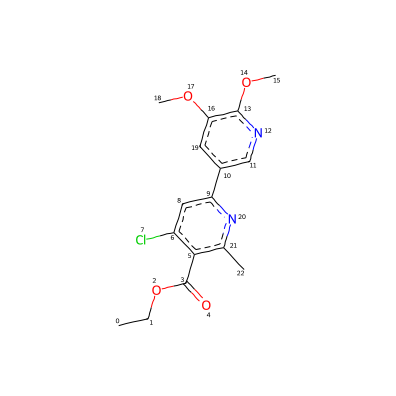 CCOC(=O)c1c(Cl)cc(-c2cnc(OC)c(OC)c2)nc1C